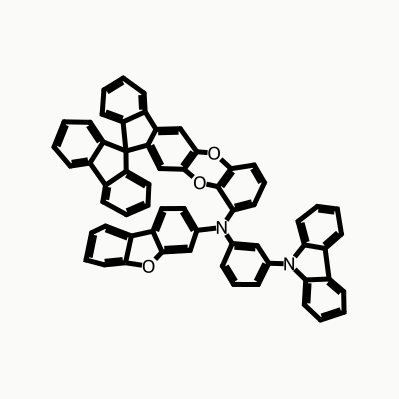 c1cc(N(c2ccc3c(c2)oc2ccccc23)c2cccc3c2Oc2cc4c(cc2O3)-c2ccccc2C42c3ccccc3-c3ccccc32)cc(-n2c3ccccc3c3ccccc32)c1